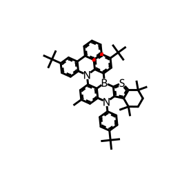 Cc1cc2c3c(c1)N(c1ccc(C(C)(C)C)cc1)c1c(sc4c1C(C)(C)CCC4(C)C)B3c1cc(C(C)(C)C)ccc1N2c1ccc(C(C)(C)C)cc1-c1ccccc1